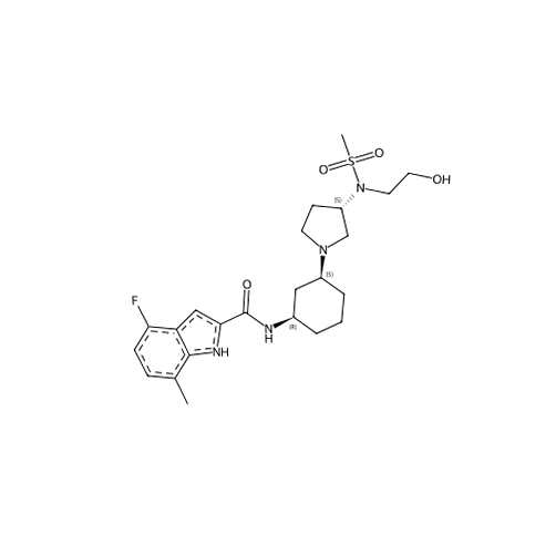 Cc1ccc(F)c2cc(C(=O)N[C@@H]3CCC[C@H](N4CC[C@H](N(CCO)S(C)(=O)=O)C4)C3)[nH]c12